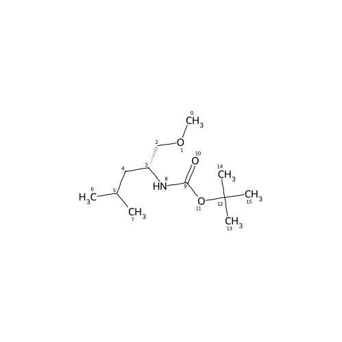 COC[C@@H](CC(C)C)NC(=O)OC(C)(C)C